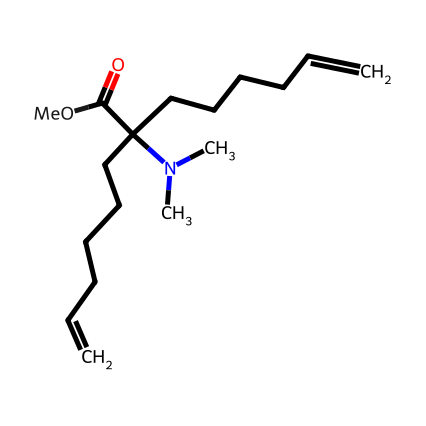 C=CCCCCC(CCCCC=C)(C(=O)OC)N(C)C